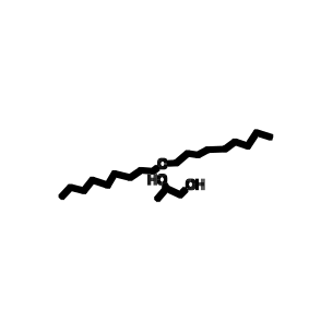 CC(O)CO.CCCCCCCCCOCCCCCCCCC